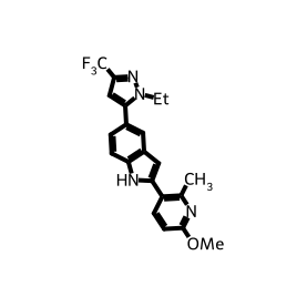 CCn1nc(C(F)(F)F)cc1-c1ccc2[nH]c(-c3ccc(OC)nc3C)cc2c1